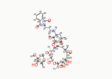 CC[C@H]1OC(=O)[C@H](C)[C@@H](O[C@H]2C[C@@](C)(OC)[C@@H](O)[C@H](C)O2)[C@H](C)[C@@H](O[C@@H]2O[C@H](C)C[C@H](N(C)CCCN3C(=O)c4ccccc4C3=O)[C@H]2OC)[C@@](C)(OC)C[C@@H](C)C(=O)[C@H](C)[C@@H](O)[C@]1(C)O